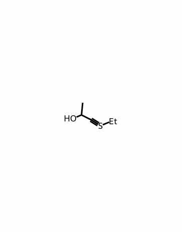 CCS#CC(C)O